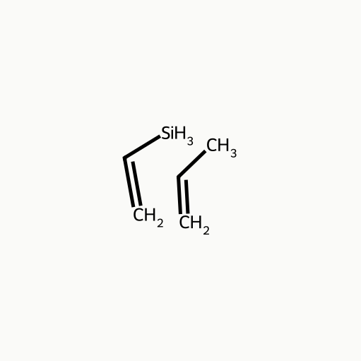 C=CC.C=C[SiH3]